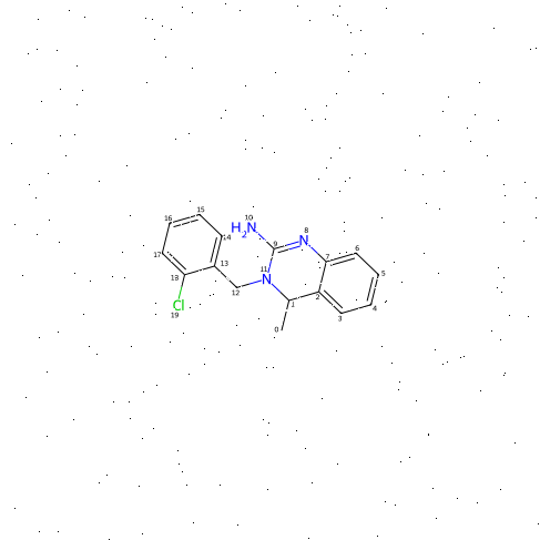 CC1c2ccccc2N=C(N)N1Cc1ccccc1Cl